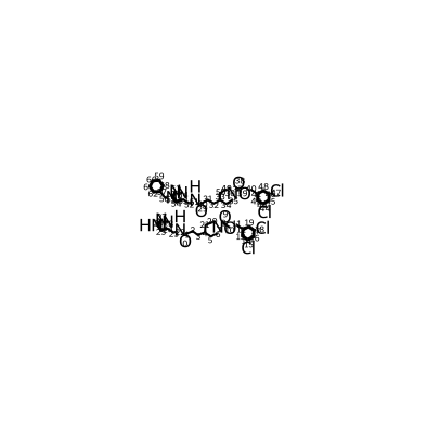 O=C(CCC1CCN(C(=O)OCc2cc(Cl)cc(Cl)c2)CC1)NCc1c[nH]nn1.O=C(CCC1CCN(C(=O)OCc2cc(Cl)cc(Cl)c2)CC1)NCc1cn(Cc2ccccc2)nn1